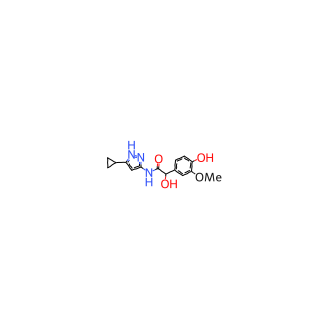 COc1cc(C(O)C(=O)Nc2cc(C3CC3)[nH]n2)ccc1O